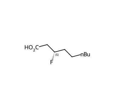 CCCCCC[C@H](F)CC(=O)O